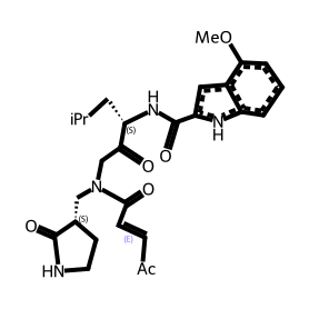 COc1cccc2[nH]c(C(=O)N[C@@H](CC(C)C)C(=O)CN(C[C@@H]3CCNC3=O)C(=O)/C=C/C(C)=O)cc12